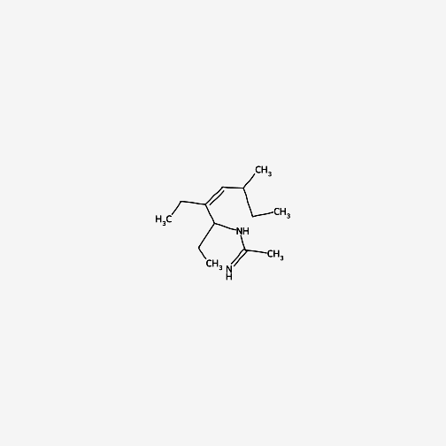 CC/C(=C/C(C)CC)C(CC)NC(C)=N